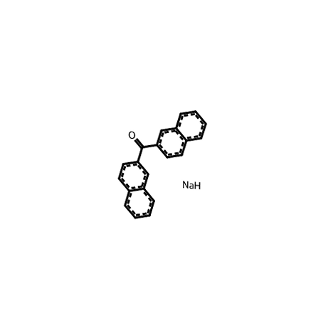 O=C(c1ccc2ccccc2c1)c1ccc2ccccc2c1.[NaH]